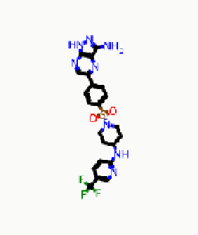 Nc1n[nH]c2ncc(-c3ccc(S(=O)(=O)N4CCC(Nc5ccc(C(F)(F)F)cn5)CC4)cc3)nc12